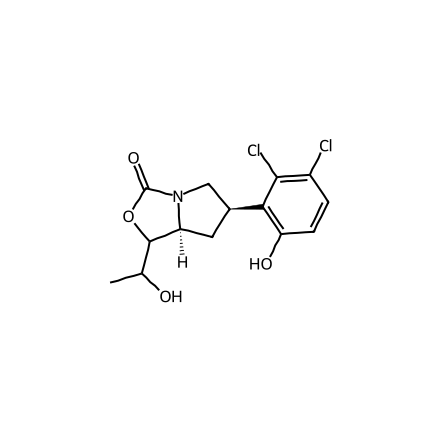 CC(O)C1OC(=O)N2C[C@@H](c3c(O)ccc(Cl)c3Cl)C[C@@H]12